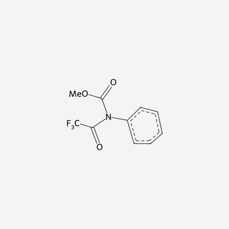 COC(=O)N(C(=O)C(F)(F)F)c1ccccc1